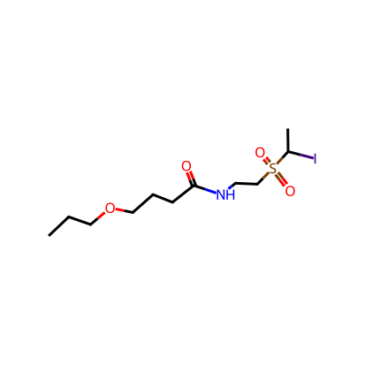 CCCOCCCC(=O)NCCS(=O)(=O)C(C)I